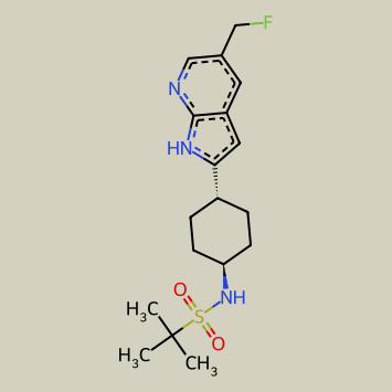 CC(C)(C)S(=O)(=O)N[C@H]1CC[C@H](c2cc3cc(CF)cnc3[nH]2)CC1